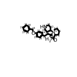 NC(=O)C1CCCC[N+]1(C(=O)[CH]Cc1ccc(OCc2ccccc2)cc1)C1CCNCC1